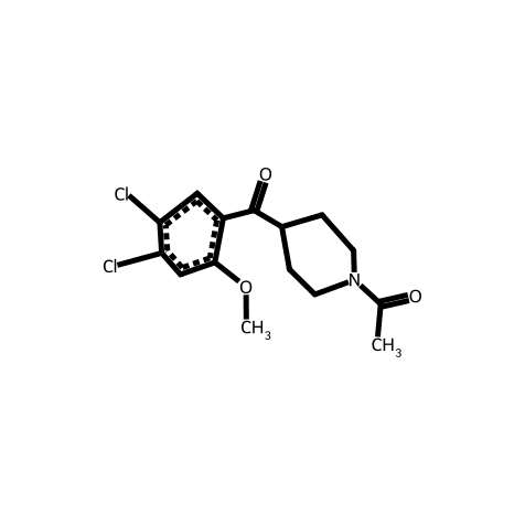 COc1cc(Cl)c(Cl)cc1C(=O)C1CCN(C(C)=O)CC1